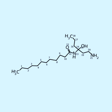 CCCCCCCCCCCC(=O)NC(O)(CCC)CCN